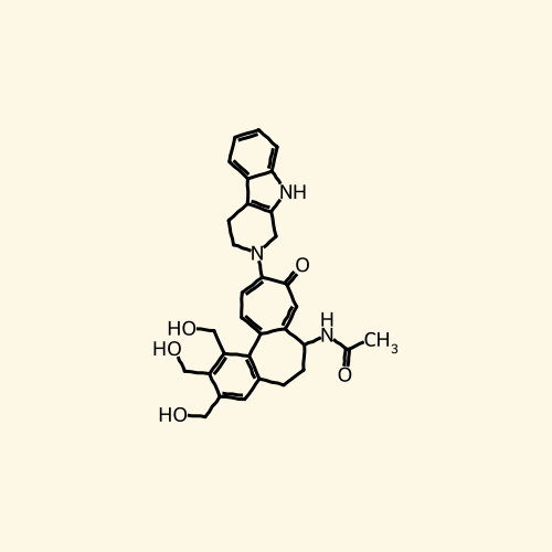 CC(=O)NC1CCc2cc(CO)c(CO)c(CO)c2-c2ccc(N3CCc4c([nH]c5ccccc45)C3)c(=O)cc21